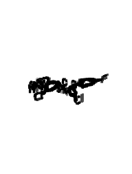 CS(=O)(=O)Nc1cc2cc(C(=O)Nc3cc(Cl)cc(Oc4ccc(F)cc4)c3)sc2cc1Cl